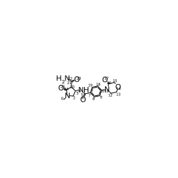 CN1CC(NC(=O)c2ccc(N3CCOCC3=O)cc2)C(C(N)=O)C1=O